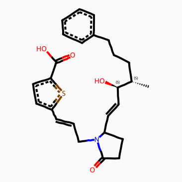 C[C@@H](CCCc1ccccc1)[C@H](O)C=CC1CCC(=O)N1CC=Cc1ccc(C(=O)O)s1